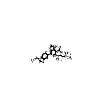 CCn1cnc2cc(-c3nc(N(C)CCN(C)C)c(C(N)=O)c4[nH]cnc34)ccc21